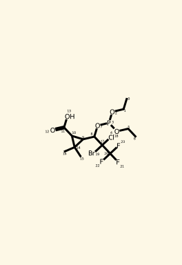 CCOP(OCC)OC(C1C(C(=O)O)C1(C)C)C(Cl)(Br)C(F)(F)F